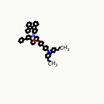 CCCc1ccc2c(c1)c1cc(CCC)ccc1n2-c1ccc(-c2ccc(-c3ccc(N(c4ccc5c(c4)C(c4ccccc4)(c4ccccc4)c4ccccc4-5)c4ccc(-c5ccccc5)cc4-c4ccccc4)cc3)cc2)cc1